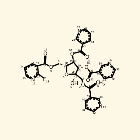 C=C(OC[C@@]1(O)O[C@H](COC(=O)c2cccnc2F)[C@@H](OC(=O)c2cccnc2)[C@@H]1OC(=O)c1cccnc1)c1cccnc1